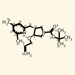 C=CCO[C@@H]1CN(C(=O)OC(C)(C)C)C[C@@H]1Cc1cc(C)cc(C)n1